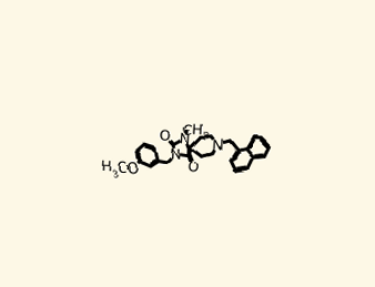 COc1cccc(CN2C(=O)N(C)C3(CCN(Cc4cccc5ccccc45)CC3)C2=O)c1